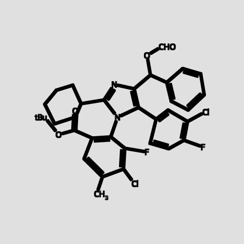 Cc1cc(C(=O)OC(C)(C)C)c(-n2c(C3CCCCC3)nc(C(OC=O)c3ccccc3)c2-c2ccc(F)c(Cl)c2)c(F)c1Cl